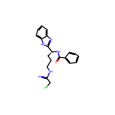 N=C(CCl)NCCC[C@H](NC(=O)c1ccccc1)c1nc2ccccc2[nH]1